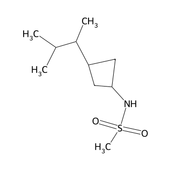 CC(C)C(C)C1CC(NS(C)(=O)=O)C1